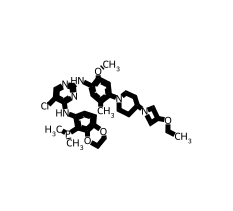 CCOC1CN(C2CCN(c3cc(OC)c(Nc4ncc(Cl)c(Nc5ccc6c(c5P(C)C)OCCO6)n4)cc3C)CC2)C1